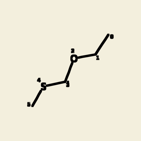 CCO[CH]SC